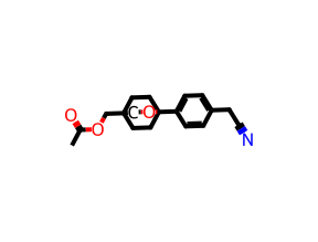 CC(=O)OCC12CCC(c3ccc(CC#N)cc3)(CC1)OC2